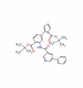 CC(C)(C)OC(=O)c1ccc(-c2cccn2C(=O)OC(C)(C)C)cc1NC(=O)c1cncc(-c2ccccc2)c1